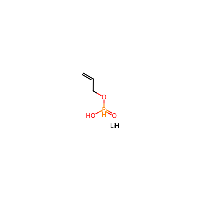 C=CCO[PH](=O)O.[LiH]